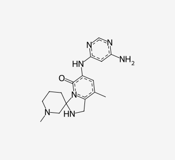 Cc1cc(Nc2cc(N)ncn2)c(=O)n2c1CNC21CCCN(C)C1